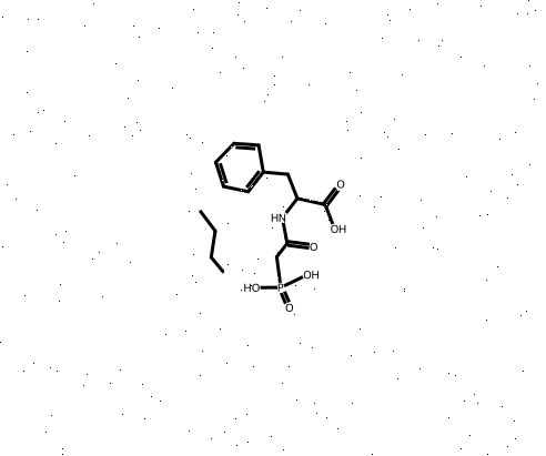 CCCC.O=C(CP(=O)(O)O)NC(Cc1ccccc1)C(=O)O